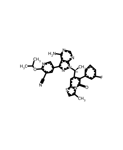 Cc1csc2cc([C@H](C)n3nc(-c4cnc(OC(C)C)c(C#N)c4)c4c(N)ncnc43)c(-c3cccc(F)c3)c(=O)n12